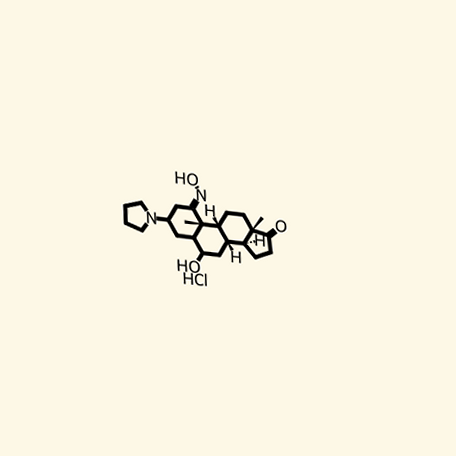 C[C@]12C(=NO)CC(N3CCCC3)CC1C(O)C[C@@H]1[C@H]2CC[C@]2(C)C(=O)CC[C@@H]12.Cl